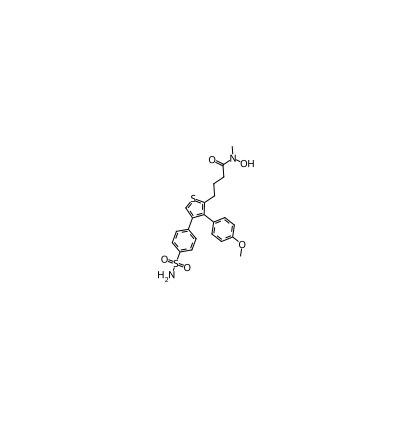 COc1ccc(-c2c(-c3ccc(S(N)(=O)=O)cc3)csc2CCCC(=O)N(C)O)cc1